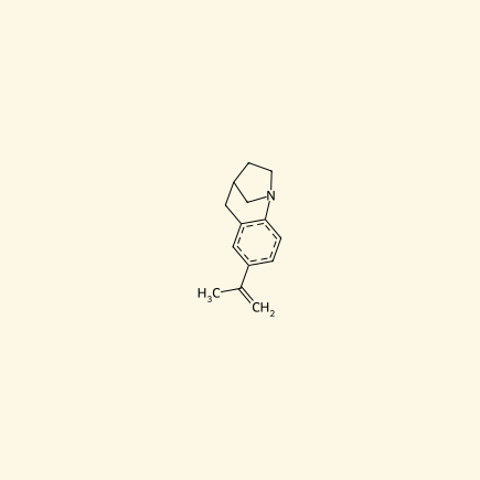 C=C(C)c1ccc2c(c1)CC1CCN2C1